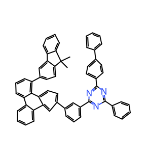 CC1(C)c2ccccc2-c2cc(-c3cccc4c5ccccc5c5cc(-c6cccc(-c7nc(-c8ccccc8)nc(-c8ccc(-c9ccccc9)cc8)n7)c6)ccc5c34)ccc21